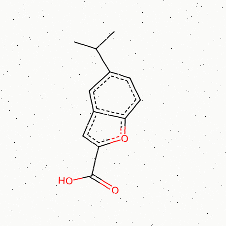 CC(C)c1ccc2oc(C(=O)O)cc2c1